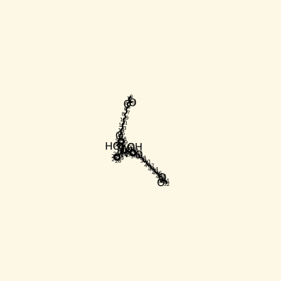 C=CC(=O)OCCCCCCCCCCCOc1ccc(-c2nc(-c3ccccc3)nc(-c3ccc(OCCCCCCCCCCCOC(=O)C=C)cc3O)n2)c(O)c1